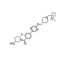 O=C(c1ccc(-c2cnc(OCC3CCN(CC4(C(F)(F)F)CCC4)CC3)cn2)cc1F)N1CCCC(O)C1